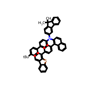 CC(C)(C)c1ccc(-c2ccc(N(c3ccc4c(c3)-c3ccccc3C4(C)C)c3ccc4ccccc4c3-c3ccc(-c4cccc5c4sc4ccccc45)cc3)cc2)cc1